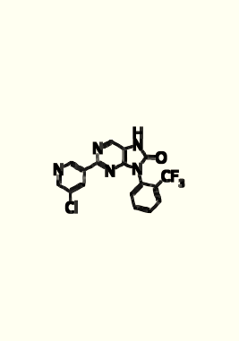 O=c1[nH]c2cnc(-c3cncc(Cl)c3)nc2n1-c1ccccc1C(F)(F)F